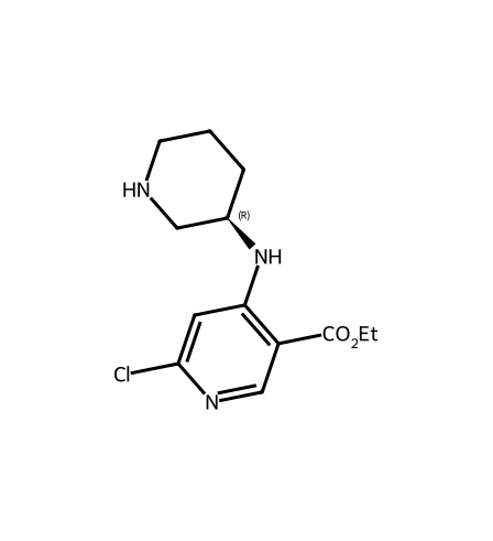 CCOC(=O)c1cnc(Cl)cc1N[C@@H]1CCCNC1